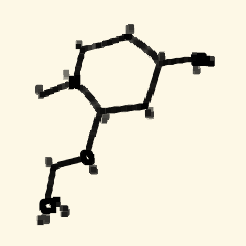 CN1CCC(C(C)(C)C)CC1OCC(F)(F)F